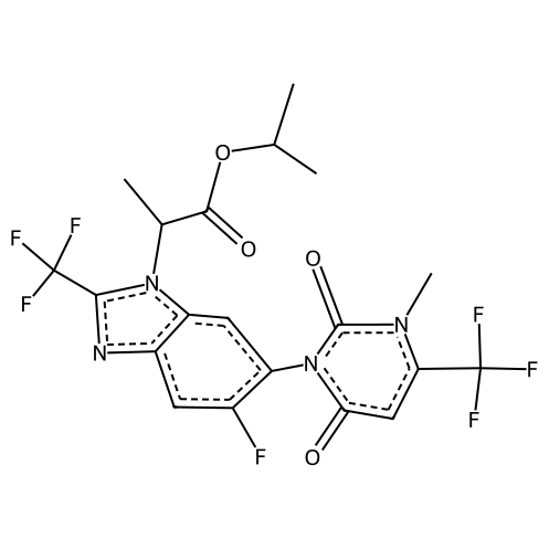 CC(C)OC(=O)C(C)n1c(C(F)(F)F)nc2cc(F)c(-n3c(=O)cc(C(F)(F)F)n(C)c3=O)cc21